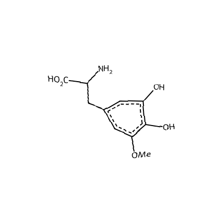 COc1cc(CC(N)C(=O)O)cc(O)c1O